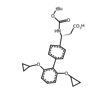 CC(C)(C)OC(=O)N[C@H](CC(=O)O)c1ccc(-c2c(OC3CC3)cccc2OC2CC2)cc1